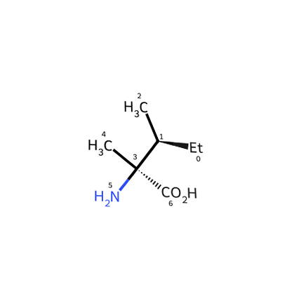 CC[C@H](C)[C@](C)(N)C(=O)O